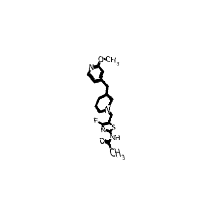 COc1cc(CC2CCCN(Cc3sc(NC(C)=O)nc3F)C2)ccn1